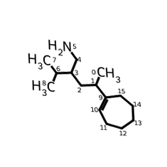 CC(CC(CN)C(C)C)C1=CCCCCC1